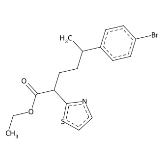 CCOC(=O)C(CCC(C)c1ccc(Br)cc1)c1nccs1